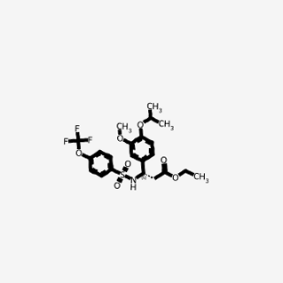 CCOC(=O)C[C@H](NS(=O)(=O)c1ccc(OC(F)(F)F)cc1)c1ccc(OC(C)C)c(OC)c1